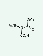 COC(=O)[C@H](NC(C)=O)C(=O)O